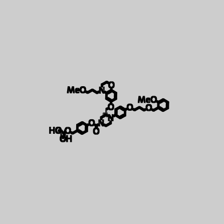 COCCCN1CCOc2ccc(OC[C@H]3CN(C(=O)Oc4ccc(CON(O)O)cc4)CCN3c3ccc(OCCCOCc4ccccc4OC)cc3)cc21